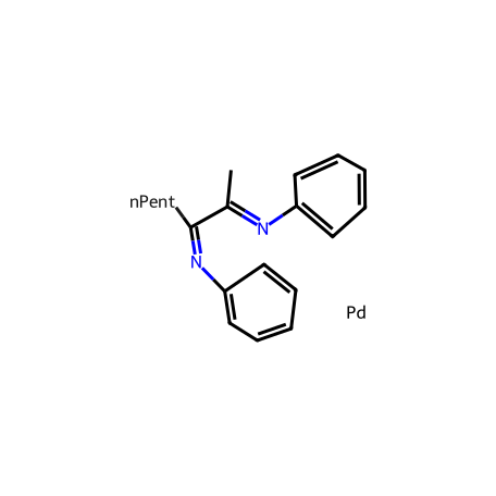 CCCCCC(=Nc1ccccc1)C(C)=Nc1ccccc1.[Pd]